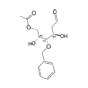 CC(=O)OC[C@@H](O)[C@@H](OCc1ccccc1)[C@H](O)CC=O